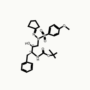 COc1ccc(S(=O)(=O)N(C[C@H](O)[C@H](Cc2ccccc2)NC(=O)OC(C)(C)C)N=C2CCCC2)cc1